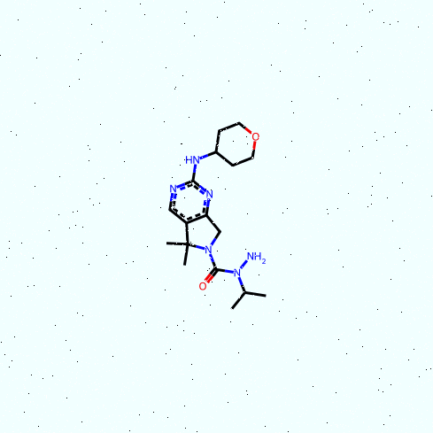 CC(C)N(N)C(=O)N1Cc2nc(NC3CCOCC3)ncc2C1(C)C